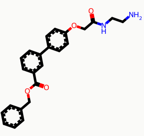 NCCNC(=O)COc1ccc(-c2cccc(C(=O)OCc3ccccc3)c2)cc1